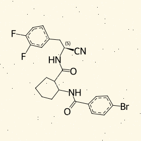 N#C[C@H](Cc1ccc(F)c(F)c1)NC(=O)C1CCCCC1NC(=O)c1ccc(Br)cc1